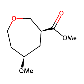 COC(=O)[C@@H]1COCC[C@H](OC)C1